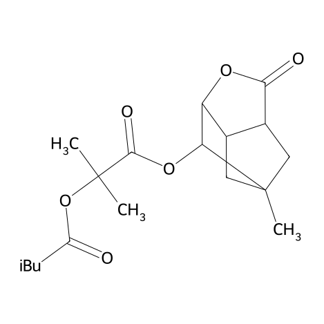 CCC(C)C(=O)OC(C)(C)C(=O)OC1C2OC(=O)C3CC1(C)CC32